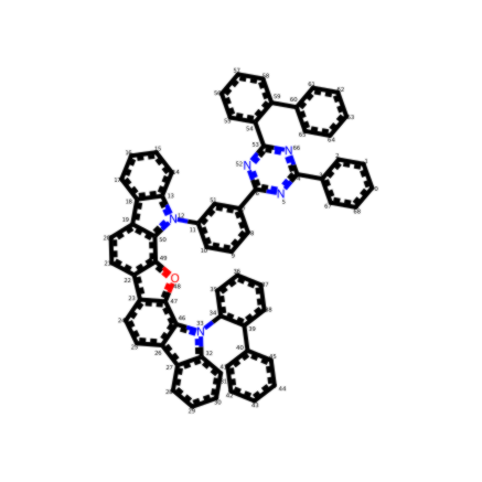 c1ccc(-c2nc(-c3cccc(-n4c5ccccc5c5ccc6c7ccc8c9ccccc9n(-c9ccccc9-c9ccccc9)c8c7oc6c54)c3)nc(-c3ccccc3-c3ccccc3)n2)cc1